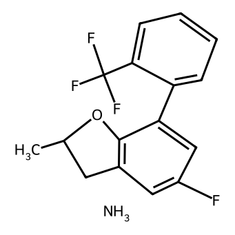 CC1Cc2cc(F)cc(-c3ccccc3C(F)(F)F)c2O1.N